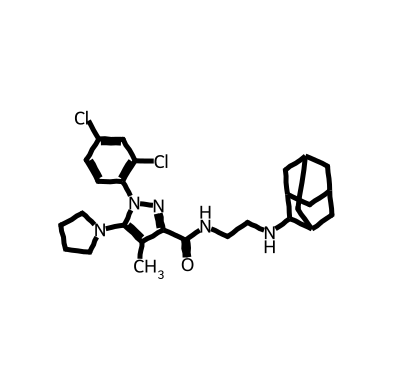 Cc1c(C(=O)NCCNC2C3CC4CC(C3)CC2C4)nn(-c2ccc(Cl)cc2Cl)c1N1CCCC1